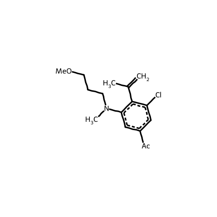 C=C(C)c1c(Cl)cc(C(C)=O)cc1N(C)CCCOC